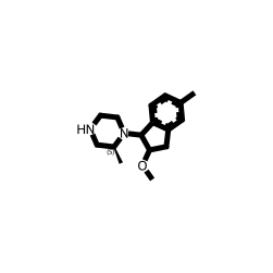 COC1Cc2cc(C)ccc2C1N1CCNC[C@@H]1C